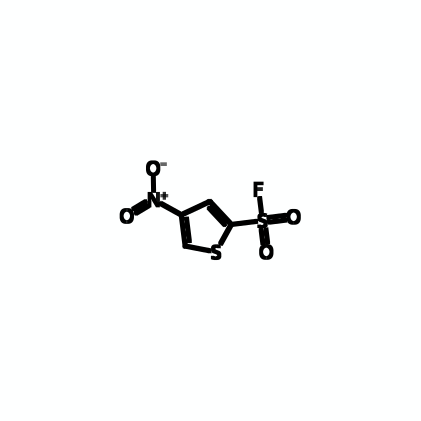 O=[N+]([O-])c1csc(S(=O)(=O)F)c1